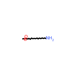 CCOC(=O)CCCCCCCCCCCCCCCN